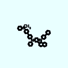 CN(c1ccccc1)c1ccc(-c2ccc(N(c3ccccc3)c3ccc4c(c3)c3ccc5ccccc5c3n4-c3ccc(-c4ccccc4)cc3)cc2)cc1